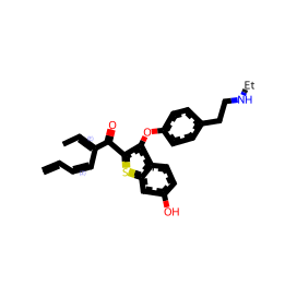 C=C/C=C\C(=C/C)C(=O)c1sc2cc(O)ccc2c1Oc1ccc(CCNCC)cc1